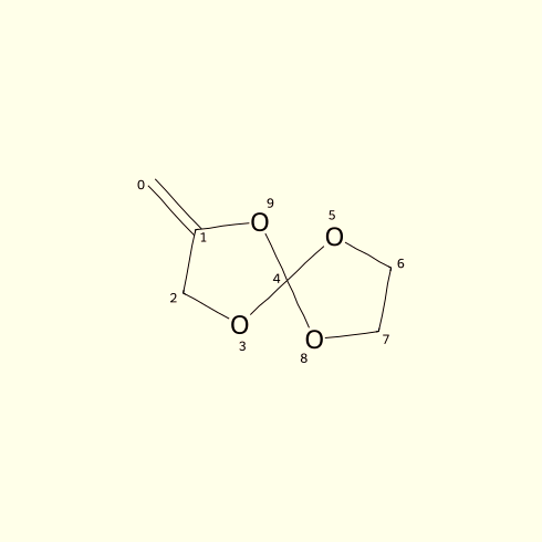 C=C1COC2(OCCO2)O1